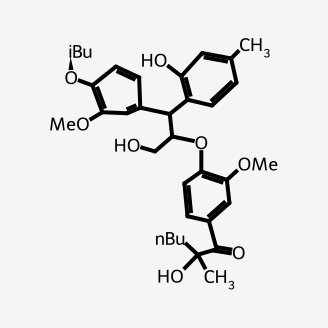 CCCCC(C)(O)C(=O)c1ccc(OC(CO)C(c2ccc(O[C@H](C)CC)c(OC)c2)c2ccc(C)cc2O)c(OC)c1